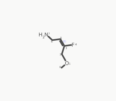 COC/C(F)=C\CN